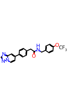 O=C(Cc1ccc(-c2ccn3ncnc3c2)cc1)NCc1ccc(OC(F)(F)F)cc1